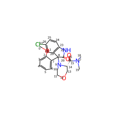 COc1ccccc1C1(N2CCOC[C@H]2C(=O)N(C)C)C(=O)Nc2ccc(Cl)cc21